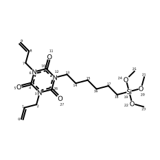 C=CCn1c(=O)n(CC=C)c(=O)n(CCCCCC[Si](OC)(OC)OC)c1=O